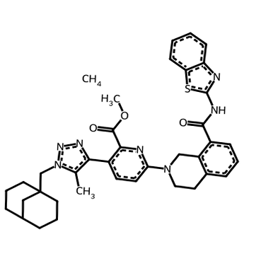 C.COC(=O)c1nc(N2CCc3cccc(C(=O)Nc4nc5ccccc5s4)c3C2)ccc1-c1nnn(CC23CCCC(CCC2)C3)c1C